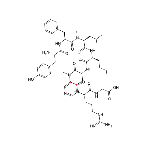 CCCC[C@H](NC(=O)[C@H](CC(C)C)N(C)C(=O)[C@H](Cc1ccccc1)NC(=O)[C@@H](N)Cc1ccc(O)cc1)C(=O)N[C@@H](Cc1ccncc1)C(=O)N(C)[C@@H](C)C(=O)N[C@@H](CCCNC(=N)N)C(=O)NCC(=O)O